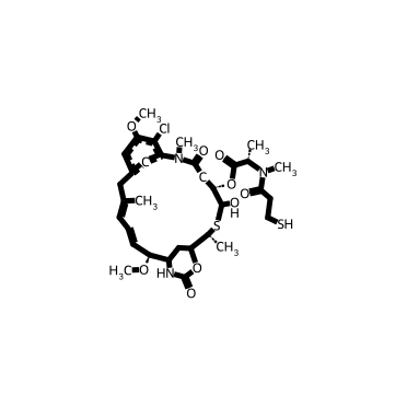 COc1cc2cc(c1Cl)N(C)C(=O)C[C@H](OC(=O)[C@H](C)N(C)C(=O)CCS)C(O)S[C@H](C)C1CC(NC(=O)O1)[C@H](OC)/C=C/C=C(\C)C2